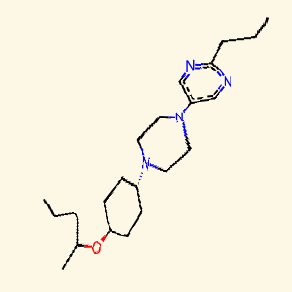 CCCc1ncc(N2CCN([C@H]3CC[C@H](OC(C)CCC)CC3)CC2)cn1